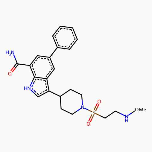 CONCCS(=O)(=O)N1CCC(c2c[nH]c3c(C(N)=O)cc(-c4ccccc4)cc23)CC1